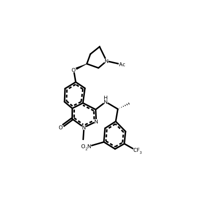 CC(=O)N1CC[C@H](Oc2ccc3c(=O)n(C)nc(N[C@H](C)c4cc([N+](=O)[O-])cc(C(F)(F)F)c4)c3c2)C1